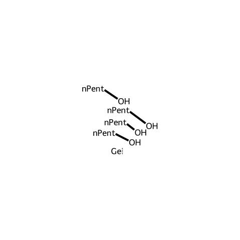 CCCCCO.CCCCCO.CCCCCO.CCCCCO.[Ge]